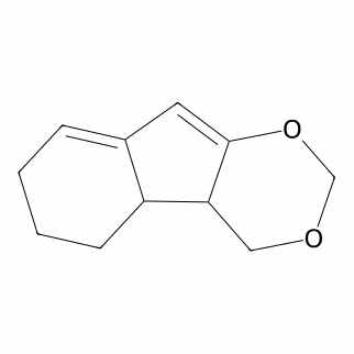 C1=C2C=C3OCOCC3C2CCC1